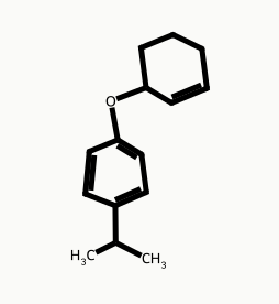 CC(C)c1ccc(OC2C=CCCC2)cc1